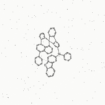 c1ccc(-c2ccc3c4c(cccc24)C2(c4ccccc4-c4ccc(N(c5ccccc5)c5ccc6oc7ccccc7c6c5)cc42)c2ccccc2-3)cc1